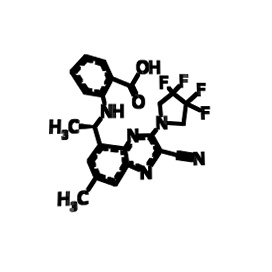 Cc1cc([C@@H](C)Nc2ccccc2C(=O)O)c2nc(N3CC(F)(F)C(F)(F)C3)c(C#N)nc2c1